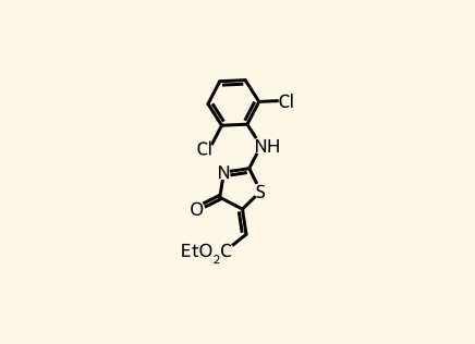 CCOC(=O)C=C1SC(Nc2c(Cl)cccc2Cl)=NC1=O